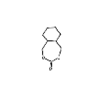 O=S1OCC2CCCCC2CO1